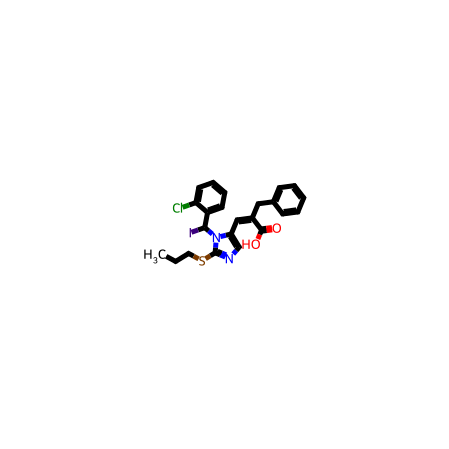 CCCSc1ncc(C=C(Cc2ccccc2)C(=O)O)n1C(I)c1ccccc1Cl